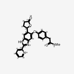 CNC(=O)Cc1ccc(Oc2cc3nc(-c4ccccn4)[nH]c3cc2C2CCC(=O)O2)cc1